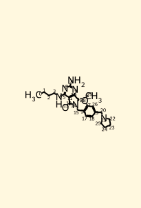 CCCCNc1nc(N)nc2c1C(=O)N(Cc1ccc(CN3CCCC3)cc1OC)C2